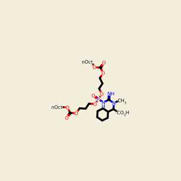 CCCCCCCCOC(=O)OCCCOP(=O)(NC(=N)N(C)C(C(=O)O)C1CCCCC1)OCCCOC(=O)OCCCCCCCC